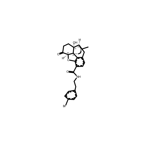 CN1CC[C@]23c4c5ccc(C(=O)NCCc6ccc(Br)cc6)c4O[C@H]2C(=O)CC[C@@]3(O)[C@H]1C5